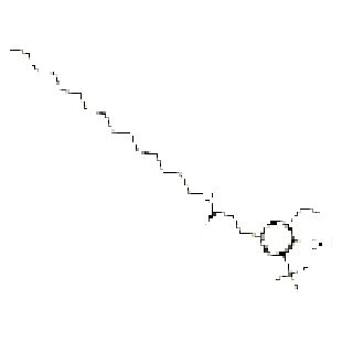 CCCCCCCCCCCCCCCOC(=O)CCc1cc(CC)c(O)c(C(C)(C)C)c1